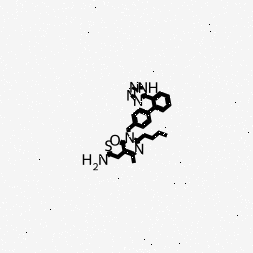 CCCCc1nc(C)c(CC(N)=S)c(=O)n1Cc1ccc(-c2ccccc2-c2nnn[nH]2)cc1